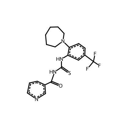 O=C(NC(=S)Nc1cc(C(F)(F)F)ccc1N1CCCCCC1)c1cccnc1